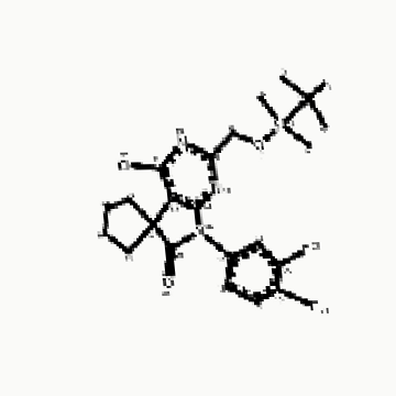 CC(C)(C)[Si](C)(C)OCc1nc(Cl)c2c(n1)N(c1ccc(F)c(F)c1)C(=O)C21CCCC1